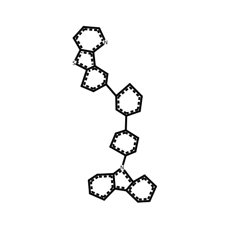 c1cc(-c2ccc(-n3c4ccccc4c4ccccc43)cc2)cc(-c2ccc3sc4cccnc4c3c2)c1